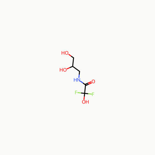 O=C(NCC(O)CO)C(O)(F)F